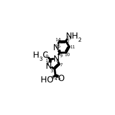 Cc1nc(C(=O)O)cn1-c1ccc(N)cn1